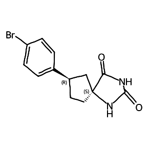 O=C1NC(=O)[C@@]2(CC[C@@H](c3ccc(Br)cc3)C2)N1